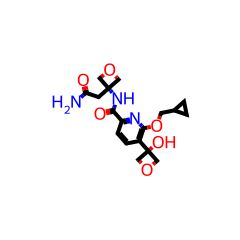 NC(=O)CC1(NC(=O)c2ccc(C3(O)COC3)c(OCC3CC3)n2)COC1